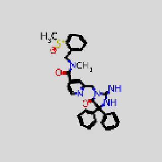 CN(Cc1ccccc1[S+](C)[O-])C(=O)c1ccnc(CN2C(=N)NC(c3ccccc3)(c3ccccc3)C2=O)c1